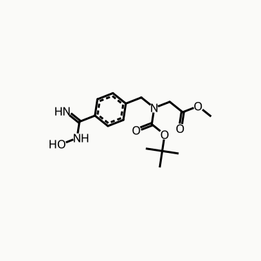 COC(=O)CN(Cc1ccc(C(=N)NO)cc1)C(=O)OC(C)(C)C